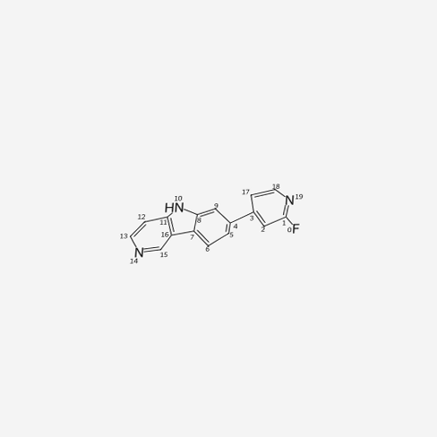 Fc1cc(-c2ccc3c(c2)[nH]c2ccncc23)ccn1